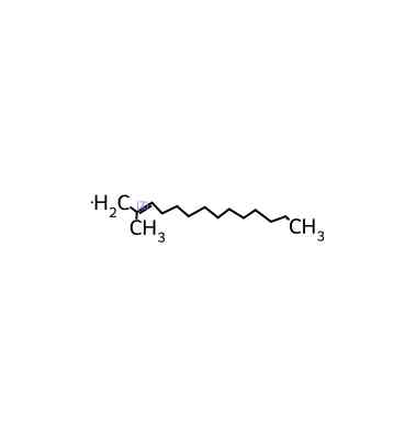 [CH2]/C(C)=C/CCCCCCCCCCC